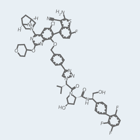 CC(C)[C@@H](C(=O)N1C[C@H](O)C[C@H]1C(=O)N[C@@H](CO)c1ccc(-c2c(F)ccc(F)c2F)cc1)n1cc(-c2ccc(COc3c(-c4ccc(F)c5sc(N)c(C#N)c45)c(Cl)cc4c(N5C[C@H]6CC[C@@H](C5)N6)nc(OC5CCOCC5)nc34)cc2)nn1